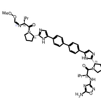 COO/C=N\[C@H](C(=O)N1CCC[C@H]1c1ncc(-c2ccc(-c3ccc(-c4cnc([C@@H]5CCCN5C(=O)[C@@H](Nc5noc(N)n5)C(C)C)[nH]4)cc3)cc2)[nH]1)C(C)C